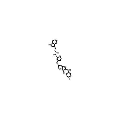 Cn1c(Nc2ccc(F)cc2)nc2cc(Oc3ccnc(C(=O)NCCc4c[nH]c5ccccc45)c3)ccc21